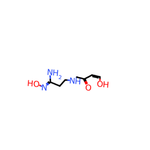 N/C(CCNCC(=O)/C=C\O)=N\O